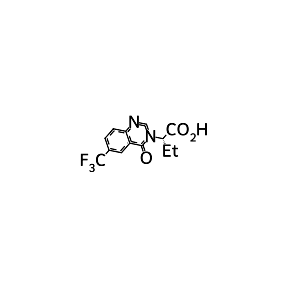 CC[C@@H](C(=O)O)n1cnc2ccc(C(F)(F)F)cc2c1=O